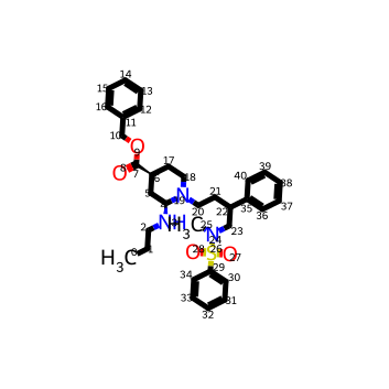 CCCN[C@H]1C[C@@H](C(=O)OCc2ccccc2)CCN1CCC(CN(C)S(=O)(=O)c1ccccc1)c1ccccc1